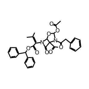 CC(=O)OC1OC2N(C(C(=O)OC(c3ccccc3)c3ccccc3)=C(C)C)C(=O)C2(C(C)=O)N1C(=O)Cc1ccccc1